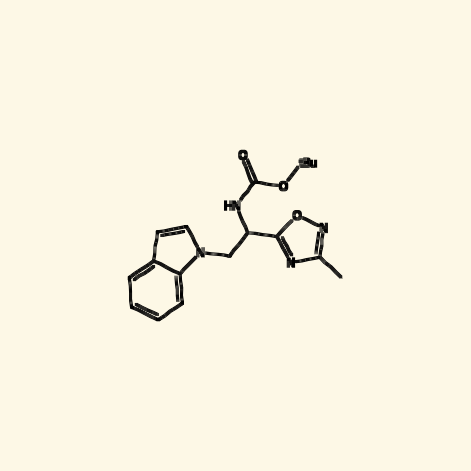 Cc1noc(C(Cn2ccc3ccccc32)NC(=O)OC(C)(C)C)n1